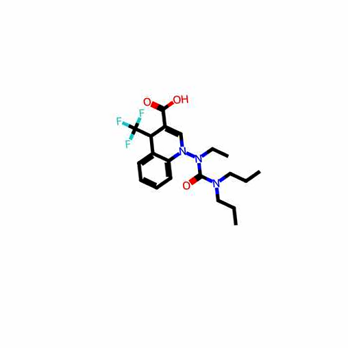 CCCN(CCC)C(=O)N(CC)N1C=C(C(=O)O)C(C(F)(F)F)c2ccccc21